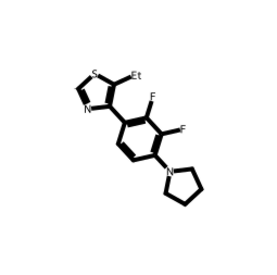 CCc1s[c]nc1-c1ccc(N2CCCC2)c(F)c1F